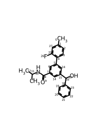 Cc1ccc(-c2cc(C(=O)NC(C)C)cc(C(O)c3ccccc3)c2)c(F)c1